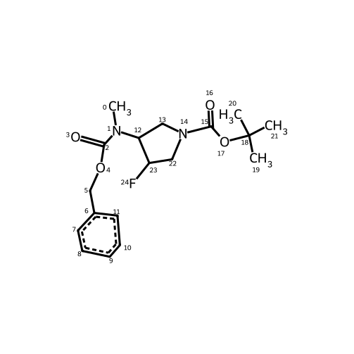 CN(C(=O)OCc1ccccc1)C1CN(C(=O)OC(C)(C)C)CC1F